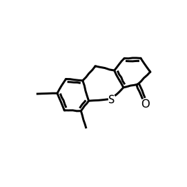 Cc1cc(C)c2c(c1)CC1=C(S2)C(=O)CC=C1